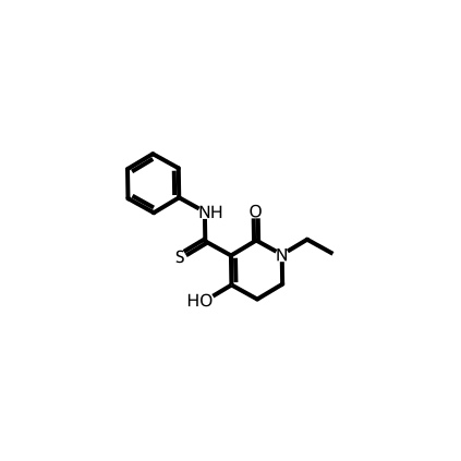 CCN1CCC(O)=C(C(=S)Nc2ccccc2)C1=O